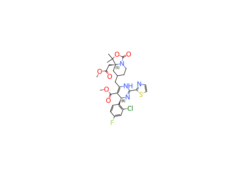 COC(=O)C[C@]12CC(CC3=C(C(=O)OC)[C@H](c4ccc(F)cc4Cl)N=C(c4nccs4)N3)CCN1C(=O)OC2(C)C